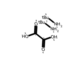 CC(C)(C)N.CC(C)(C)N.O=C(O)C(=O)O